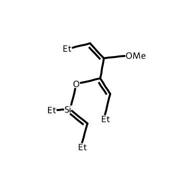 CCC=C(OC)C(=CCC)O[Si](=CCC)CC